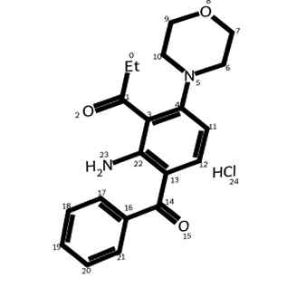 CCC(=O)c1c(N2CCOCC2)ccc(C(=O)c2ccccc2)c1N.Cl